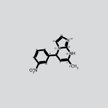 CC1=CC(c2cccc([N+](=O)[O-])c2)n2ccnc2N1